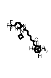 CC1(C)[C@H]2CC[C@@H](CC(=O)CCCCc3nc4ccc(C(F)(F)F)nc4n3C3CCC3)[C@@H]1C2